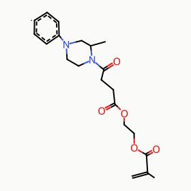 C=C(C)C(=O)OCCOC(=O)CCC(=O)N1CCN(c2cc[c]cc2)CC1C